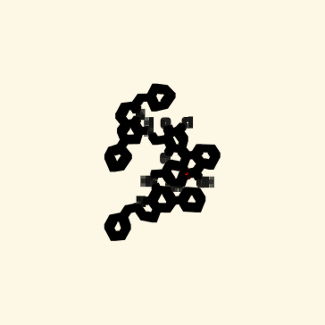 O=C(O)c1ccccc1-c1c2cc(Cl)c(=O)c(CNc3cc(-c4ccccc4)cc4ccc(Cc5ccccc5)nc34)c-2oc2c(CNc3cc(-c4ccccc4)cc4ccc(Cc5ccccc5)nc34)c(O)ccc12